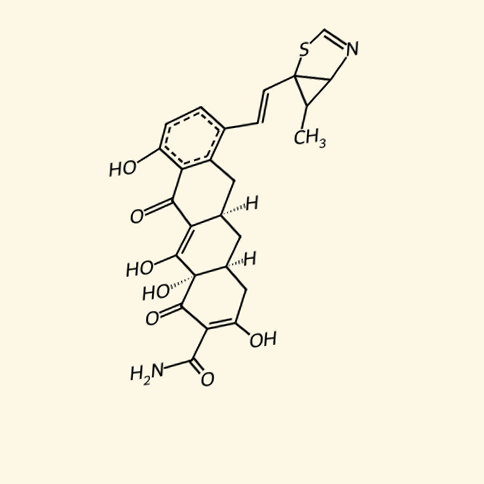 CC1C2N=CSC12/C=C/c1ccc(O)c2c1C[C@H]1C[C@H]3CC(O)=C(C(N)=O)C(=O)[C@@]3(O)C(O)=C1C2=O